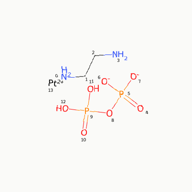 NCCN.O=P([O-])([O-])OP(=O)(O)O.[Pt+2]